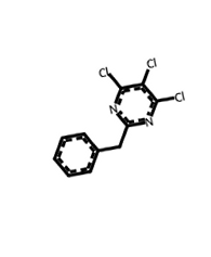 Clc1nc(Cc2ccccc2)nc(Cl)c1Cl